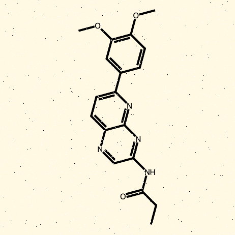 CCC(=O)Nc1cnc2ccc(-c3ccc(OC)c(OC)c3)nc2n1